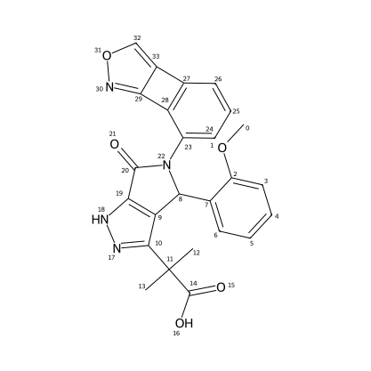 COc1ccccc1C1c2c(C(C)(C)C(=O)O)n[nH]c2C(=O)N1c1cccc2c1-c1nocc1-2